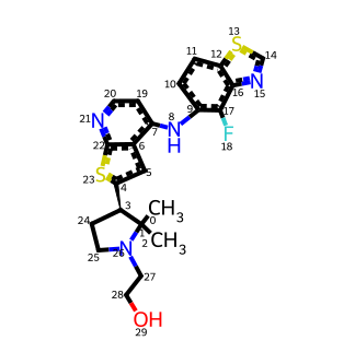 CC1(C)[C@H](c2cc3c(Nc4ccc5scnc5c4F)ccnc3s2)CCN1CCO